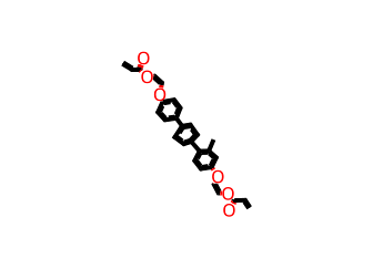 C=CC(=O)O/C=C\Oc1ccc(-c2ccc(-c3ccc(O/C=C\OC(=O)C=C)cc3C)cc2)cc1